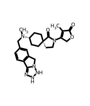 CC1=C(N2CC[C@]3(CC[C@@H](N(C)Cc4ccc5c(c4)CN4NNN=C54)CC3)C2=O)COC1=O